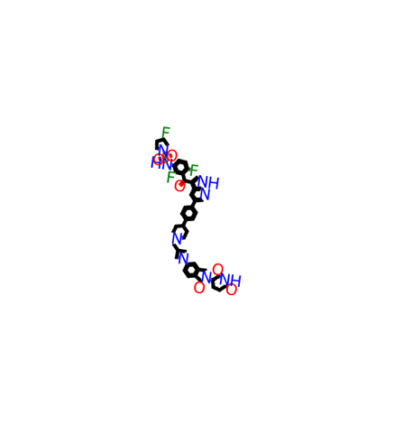 O=C1CCC(N2Cc3cc(N4CC(CN5CCC(c6ccc(-c7cnc8[nH]cc(C(=O)c9c(F)ccc(NS(=O)(=O)N%10CC[C@@H](F)C%10)c9F)c8c7)cc6)CC5)C4)ccc3C2=O)C(=O)N1